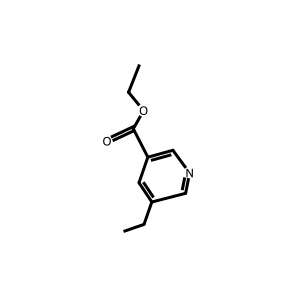 CCOC(=O)c1cncc(CC)c1